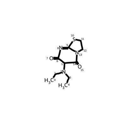 CCN(CC)C1C(=O)N=C2SCCN2C1=O